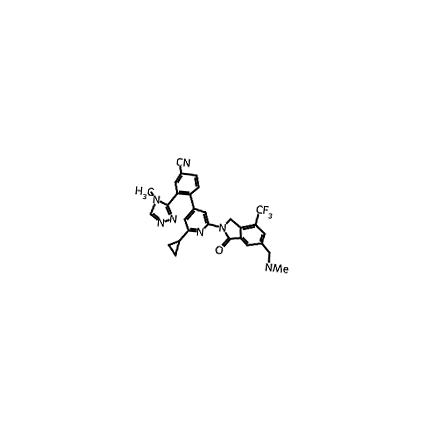 CNCc1cc2c(c(C(F)(F)F)c1)CN(c1cc(-c3ccc(C#N)cc3-c3nncn3C)cc(C3CC3)n1)C2=O